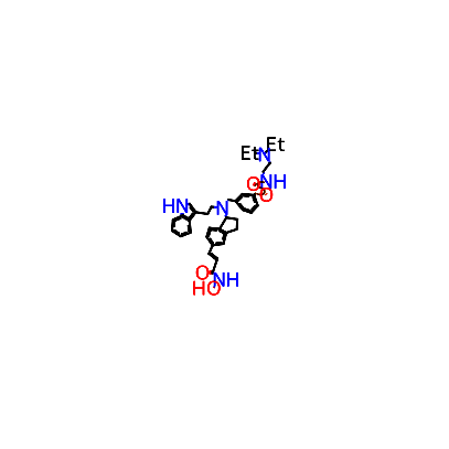 CCN(CC)CCNS(=O)(=O)c1cccc(CN(CCc2c[nH]c3ccccc23)C2CCc3cc(C=CC(=O)NO)ccc32)c1